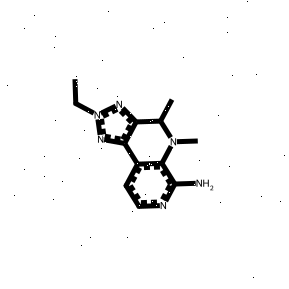 CCn1nc2c(n1)C(C)N(C)c1c-2ccnc1N